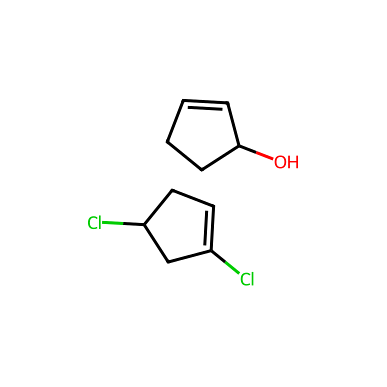 ClC1=CCC(Cl)C1.OC1C=CCC1